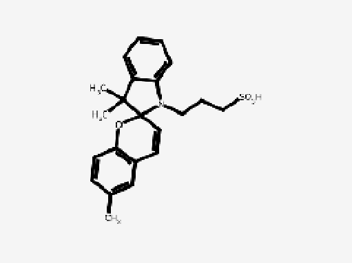 Cc1ccc2c(c1)C=CC1(O2)N(CCCS(=O)(=O)O)c2ccccc2C1(C)C